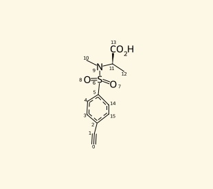 C#Cc1ccc(S(=O)(=O)N(C)[C@H](C)C(=O)O)cc1